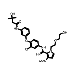 CNc1ccn(CCOCCO)c1C(=N)Nc1ccc(Oc2cccc(NC(=O)CC(C)(C)O)c2)c(Cl)c1